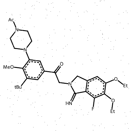 CCOc1cc2c(c(F)c1OCC)C(=N)N(CC(=O)c1cc(N3CCN(C(C)=O)CC3)c(OC)c(C(C)(C)C)c1)C2